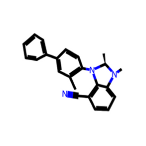 Cc1cc(-c2ccccc2)ccc1N1c2c(C#N)cccc2N(C)[C@@H]1C